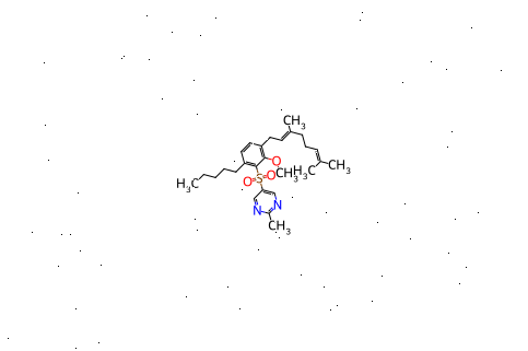 CCCCCc1ccc(C/C=C(\C)CCC=C(C)C)c(OC)c1S(=O)(=O)c1cnc(C)nc1